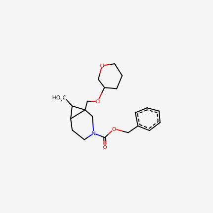 O=C(O)C1C2CCN(C(=O)OCc3ccccc3)CC21COC1CCCOC1